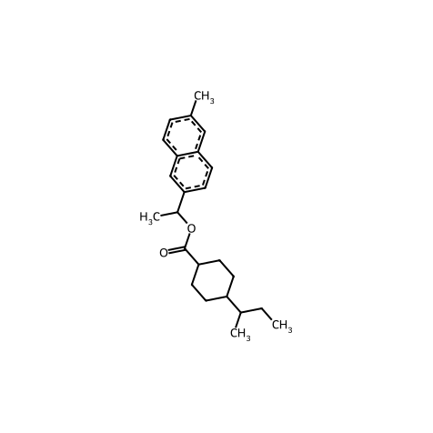 CCC(C)C1CCC(C(=O)OC(C)c2ccc3cc(C)ccc3c2)CC1